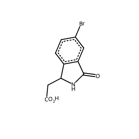 O=C(O)CC1NC(=O)c2cc(Br)ccc21